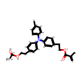 C=C(C)C(=O)OCCc1ccc(N(c2ccc(C)cc2)c2ccc(CCOC(=O)C(C)C)cc2)cc1